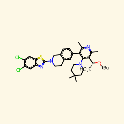 Cc1nc(C)c([C@H](OC(C)(C)C)C(=O)O)c(N2CCC(C)(C)CC2)c1-c1ccc2c(c1)CCN(c1nc3cc(Cl)c(Cl)cc3s1)C2